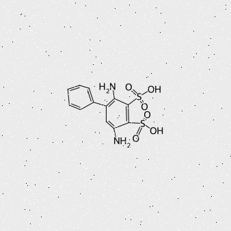 Nc1cc(-c2ccccc2)c(N)c(S(=O)(=O)O)c1S(=O)(=O)O